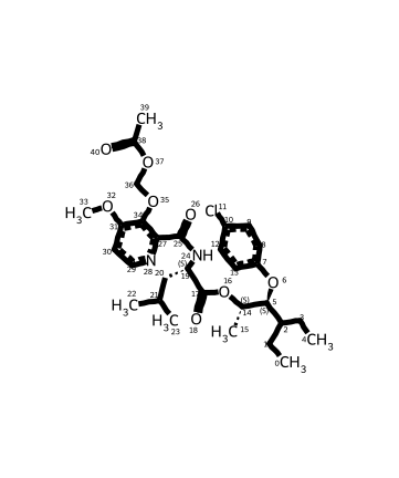 CCC(CC)[C@H](Oc1ccc(Cl)cc1)[C@H](C)OC(=O)[C@H](CC(C)C)NC(=O)c1nccc(OC)c1OCOC(C)=O